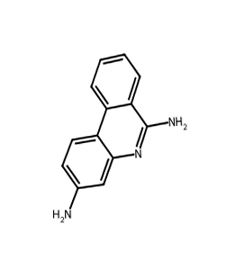 Nc1ccc2c(c1)nc(N)c1ccccc12